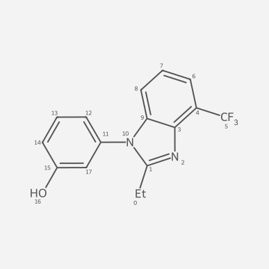 CCc1nc2c(C(F)(F)F)cccc2n1-c1cccc(O)c1